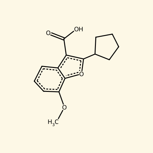 COc1cccc2c(C(=O)O)c(C3CCCC3)oc12